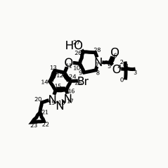 CC(C)(C)OC(=O)N1CCC(Oc2ccc3c(nnn3CC3CC3)c2Br)C(O)C1